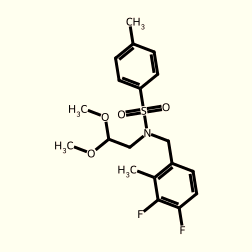 COC(CN(Cc1ccc(F)c(F)c1C)S(=O)(=O)c1ccc(C)cc1)OC